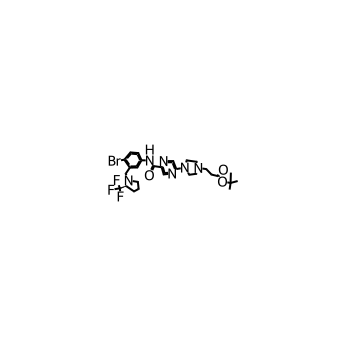 CC(C)(C)OC(=O)CCN1CCN(c2cnc(C(=O)Nc3ccc(Br)c(CN4CCC[C@H]4C(F)(F)F)c3)cn2)CC1